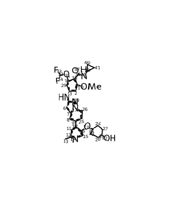 COc1cc(Nc2cc3cc(-c4cc(C)ncc4OC4CCC(O)CC4)ccn3n2)cc(OC(F)F)c1C(=O)NC1CC1